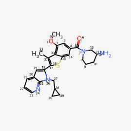 COc1cc(C(=O)N2CCCC(N)C2)cc2sc(-c3cc4cccnc4n3CC3CC3)c(C)c12